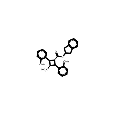 COc1ccccc1C1[C@H](C(=O)O)C(c2ccccc2OC)[C@@H]1C(=O)OC1Cc2ccccc2C1